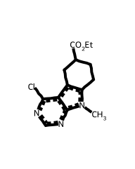 CCOC(=O)C1CCc2c(c3c(Cl)ncnc3n2C)C1